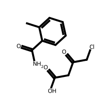 Cc1ccccc1C(N)=O.O=C(O)CC(=O)CCl